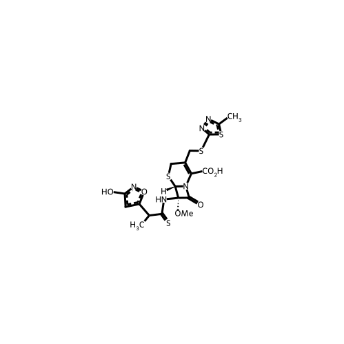 CO[C@@]1(NC(=S)C(C)c2cc(O)no2)C(=O)N2C(C(=O)O)=C(CSc3nnc(C)s3)CS[C@H]21